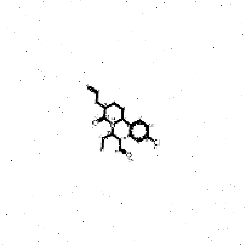 C=CCC1CCC(c2ccc(Cl)cc2)N(C(CC)CC=O)C1=O